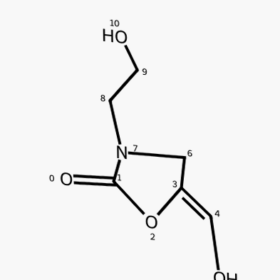 O=C1O/C(=C\O)CN1CCO